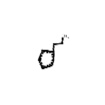 CCCc1c[c]c[c]c1